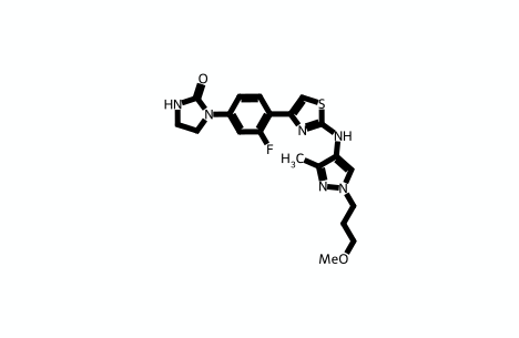 COCCCn1cc(Nc2nc(-c3ccc(N4CCNC4=O)cc3F)cs2)c(C)n1